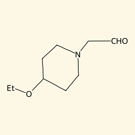 CCOC1CCN(CC=O)CC1